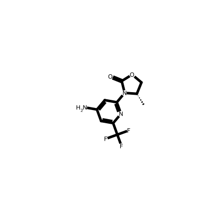 C[C@H]1COC(=O)N1c1cc(N)cc(C(F)(F)F)n1